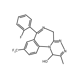 CC1=NN=C2CN=C(c3ccccc3F)c3cc(C(F)(F)F)ccc3N2C1O